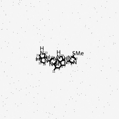 CSc1cncc(N2CC(CC(C)c3cncc(N4CC[C@@H]5CNC[C@@H]54)n3)[C@H]3CNC[C@H]32)n1